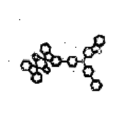 c1ccc(-c2ccc(N(c3ccc(-c4ccc5c(c4)-c4ccccc4C54c5ccccc5C5(c6ccccc6-c6ccccc65)c5ccccc54)cc3)c3ccc4c(c3)oc3ccccc34)cc2)cc1